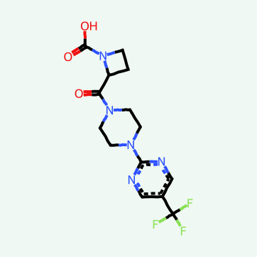 O=C(C1CCN1C(=O)O)N1CCN(c2ncc(C(F)(F)F)cn2)CC1